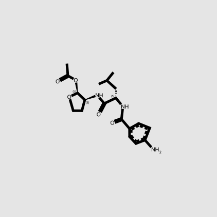 CC(=O)O[C@@H]1OCC[C@@H]1NC(=O)[C@H](CC(C)C)NC(=O)c1ccc(N)cc1